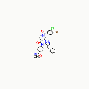 CNC(=O)C1CCC(n2c(=O)c3c(n4ncc(Cc5ccccc5)c24)CN(C(=O)c2ccc(Br)c(Cl)c2)CC3)CC1